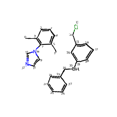 Cc1cccc(C)c1-n1ccnc1.ClCc1cccc(BCc2ccccc2)c1